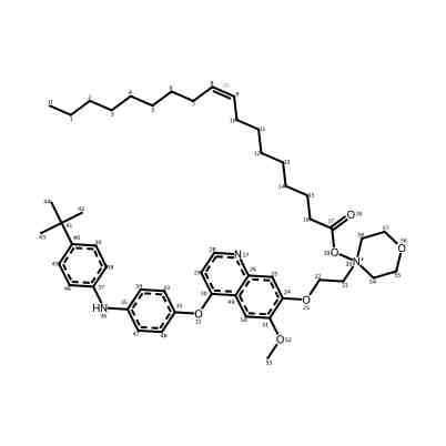 CCCCCCCC/C=C\CCCCCCCC(=O)O[N+]1(CCOc2cc3nccc(Oc4ccc(Nc5ccc(C(C)(C)C)cc5)cc4)c3cc2OC)CCOCC1